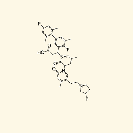 Cc1cc(=O)n(C(CC(C)C)C(=O)NC(CC(=O)O)c2cc(-c3c(C)cc(F)cc3C)cc(C)c2F)cc1CCN1CCC(F)C1